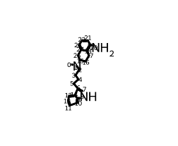 CN(CCCCc1c[nH]c2ccccc12)C1CCc2c(N)cccc2C1